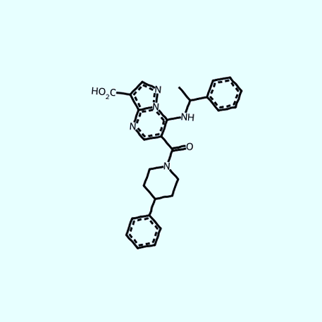 CC(Nc1c(C(=O)N2CCC(c3ccccc3)CC2)cnc2c(C(=O)O)cnn12)c1ccccc1